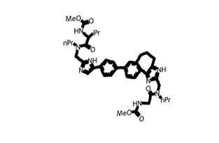 CCCN(Cc1nc2c([nH]1)CCCc1cc(-c3ccc(-c4cnc(CN(CCC)C(=O)C(NC(=O)OC)C(C)C)[nH]4)cc3)ccc1-2)C(=O)CNC(=O)OC